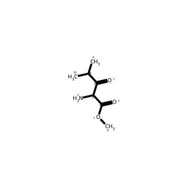 COC(=O)C(N)C(=O)C(C)C